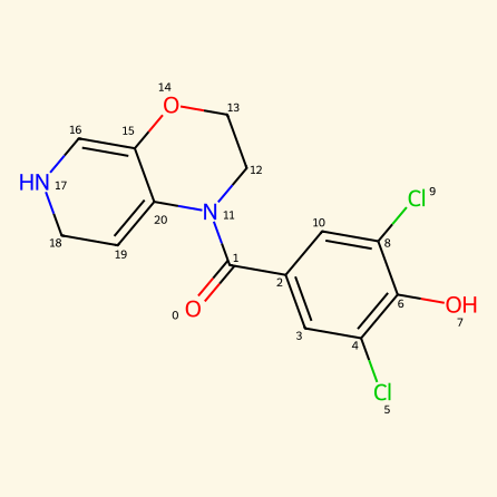 O=C(c1cc(Cl)c(O)c(Cl)c1)N1CCOC2=CNCC=C21